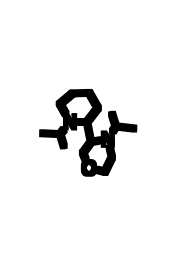 CC(C)N1CCCCC1C1COCCN1C(C)C